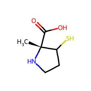 C[C@]1(C(=O)O)NCCC1S